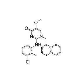 COc1cn(Cc2cccc3ccccc23)c(Nc2cccc(Cl)c2C)nc1=O